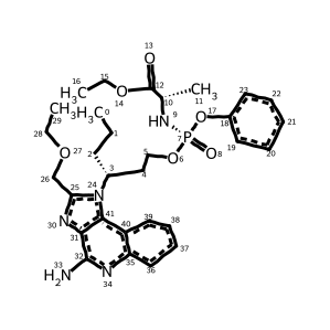 CCC[C@H](CCO[P@@](=O)(N[C@@H](C)C(=O)OCC)Oc1ccccc1)n1c(COCC)nc2c(N)nc3ccccc3c21